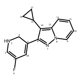 FC1=CNCC(c2nn3ccccc3c2C2CC2)=C1